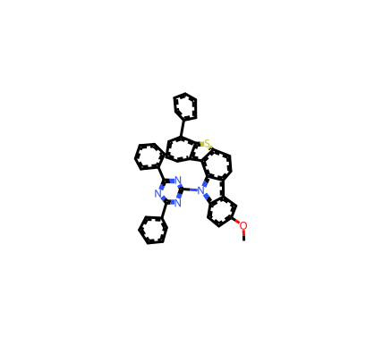 COc1ccc2c(c1)c1ccc3sc4c(-c5ccccc5)cccc4c3c1n2-c1nc(-c2ccccc2)nc(-c2ccccc2)n1